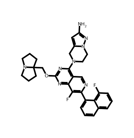 Nc1cc2n(n1)CCN(c1nc(OCC34CCCN3CCC4)nc3c(F)c(-c4cccc5cccc(F)c45)ncc13)C2